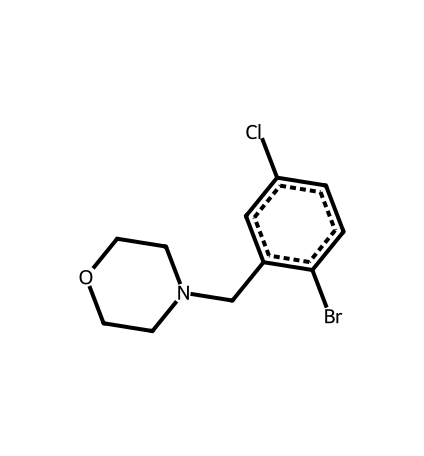 Clc1ccc(Br)c(CN2CCOCC2)c1